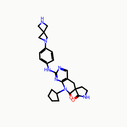 O=C1NCCC12Cc1cnc(Nc3ccc(N4CC5(CNC5)C4)cc3)nc1N(C1CCCC1)C2=O